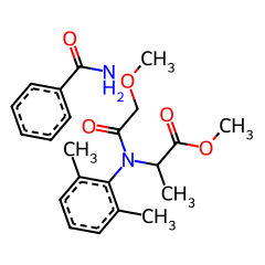 COCC(=O)N(c1c(C)cccc1C)C(C)C(=O)OC.NC(=O)c1ccccc1